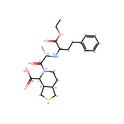 CCOC(=O)C(CCc1ccccc1)N[C@@H](C)C(=O)N1CCC2CSCC2C1C(=O)O